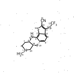 CN1CC[C@@H](Nc2cccc3c(SC(F)(F)F)c(C#N)sc23)[C@@H](F)C1